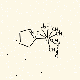 [CH3][W]([CH3])([CH3])([CH3])([CH3])([CH3])([CH3])([N]=O)[C]1=CC=CC1